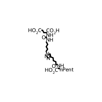 CCCCCC(NC(=O)CCCc1cn(CCCCCNC(=O)N[C@@H](CCC(=O)O)C(=O)O)nn1)C(=O)O